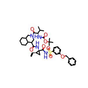 C=C[C@@H]1C[C@]1(NC(=O)C1CN(C(=O)[C@@H](NC(=O)OC(C)(C)C)C(C)C)CC2CCCCC21)C(=O)NS(=O)(=O)c1cccc(OCc2ccccc2)c1